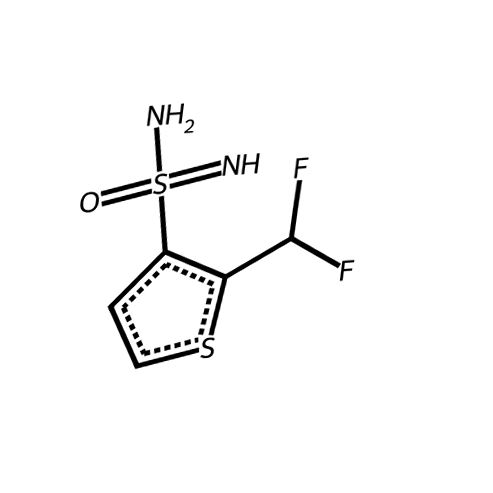 N=S(N)(=O)c1ccsc1C(F)F